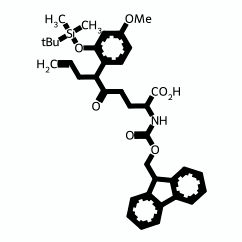 C=CCC(C(=O)CCC(NC(=O)OCC1c2ccccc2-c2ccccc21)C(=O)O)c1ccc(OC)cc1O[Si](C)(C)C(C)(C)C